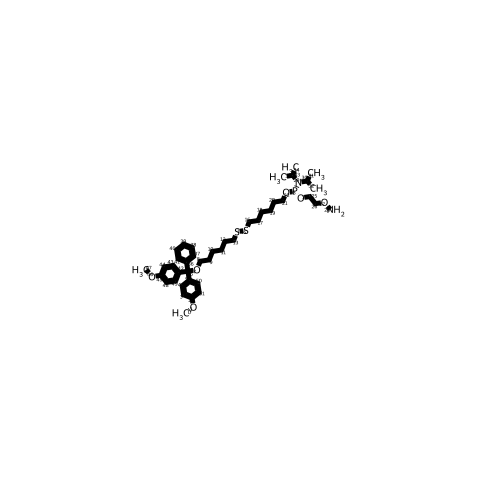 COc1ccc(C(OCCCCCCSSCCCCCCOP(OCCON)N(C(C)C)C(C)C)(c2ccccc2)c2ccc(OC)cc2)cc1